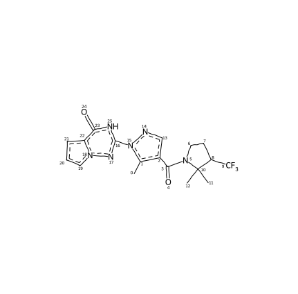 Cc1c(C(=O)N2CCC(C(F)(F)F)C2(C)C)cnn1-c1nn2cccc2c(=O)[nH]1